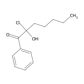 CCCCCC(O)(Cl)C(=O)c1ccccc1